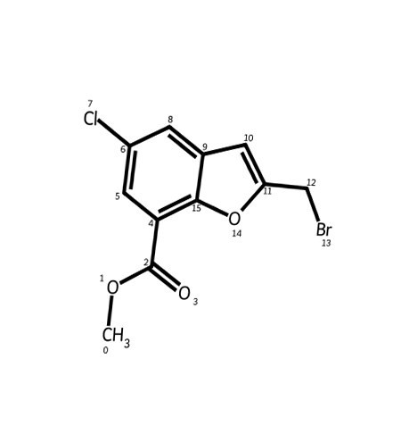 COC(=O)c1cc(Cl)cc2cc(CBr)oc12